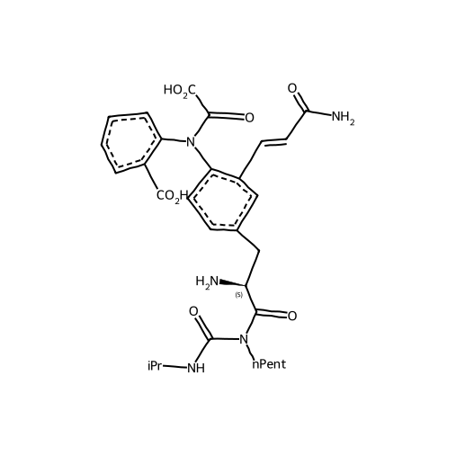 CCCCCN(C(=O)NC(C)C)C(=O)[C@@H](N)Cc1ccc(N(C(=O)C(=O)O)c2ccccc2C(=O)O)c(C=CC(N)=O)c1